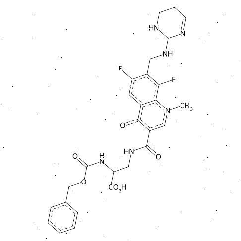 Cn1cc(C(=O)NCC(NC(=O)OCc2ccccc2)C(=O)O)c(=O)c2cc(F)c(CNC3N=CCCN3)c(F)c21